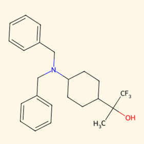 CC(O)(C1CCC(N(Cc2ccccc2)Cc2ccccc2)CC1)C(F)(F)F